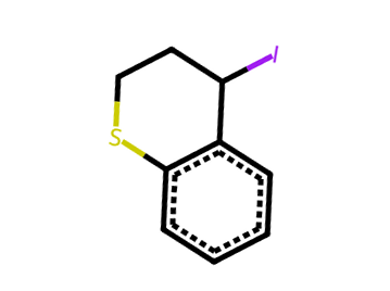 IC1CCSc2ccccc21